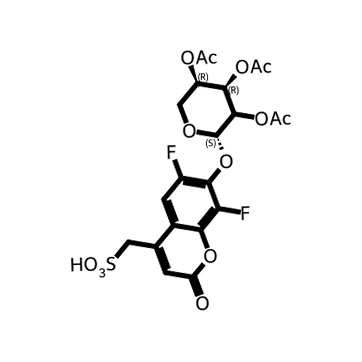 CC(=O)OC1[C@H](Oc2c(F)cc3c(CS(=O)(=O)O)cc(=O)oc3c2F)OC[C@@H](OC(C)=O)[C@H]1OC(C)=O